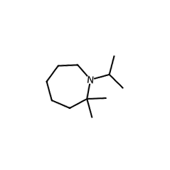 CC(C)N1CCCCCC1(C)C